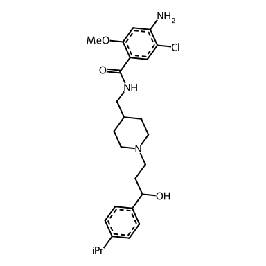 COc1cc(N)c(Cl)cc1C(=O)NCC1CCN(CCC(O)c2ccc(C(C)C)cc2)CC1